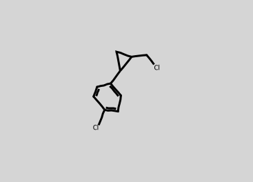 ClCC1CC1c1ccc(Cl)cc1